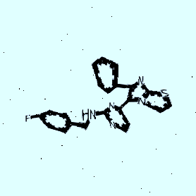 Fc1ccc(CNc2nccc(-c3c(-c4ccccc4)nc4sccn34)n2)cc1